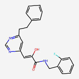 O=C(NCc1ccccc1F)/C(O)=C/c1cc(CCc2ccccc2)ncn1